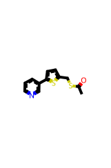 CC(=O)SCc1ccc(-c2cccnc2)s1